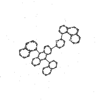 c1cc(-c2ccc3c(-c4cccc5ccccc45)c4ccccc4c(-c4cccc5ccccc45)c3c2)nc(-c2cccc3ccc4cccnc4c23)c1